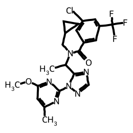 COc1cc(C)nc(-n2ncnc2C(C)N(CC2CC2)C(=O)c2cc(Cl)cc(C(F)(F)F)c2)n1